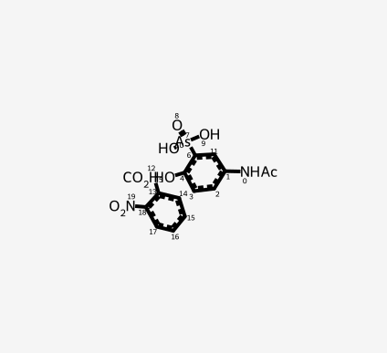 CC(=O)Nc1ccc(O)c([As](=O)(O)O)c1.O=C(O)c1ccccc1[N+](=O)[O-]